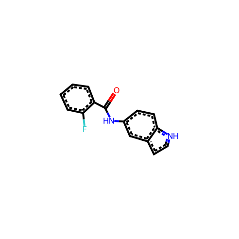 O=C(Nc1ccc2[nH]ccc2c1)c1ccccc1F